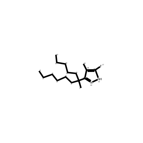 CCCCCCC(C)(CCCCC)c1n[nH]c(F)c1C